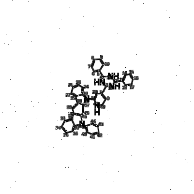 C1=C(C2NC(c3ccccc3)NC(c3ccccc3)N2)C=C(n2c3ccccc3c3cc4c5ccccc5n(-c5ccccc5)c4cc32)NC1